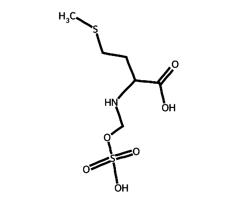 CSCCC(NCOS(=O)(=O)O)C(=O)O